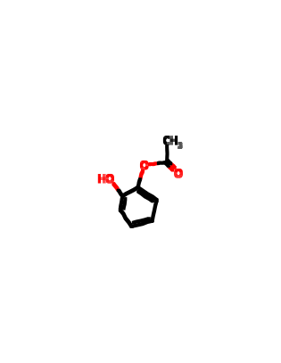 CC(=O)Oc1ccccc1O